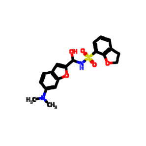 CN(C)c1ccc2cc(C(O)NS(=O)(=O)c3cccc4c3OCC4)oc2c1